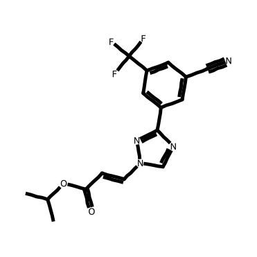 CC(C)OC(=O)C=Cn1cnc(-c2cc(C#N)cc(C(F)(F)F)c2)n1